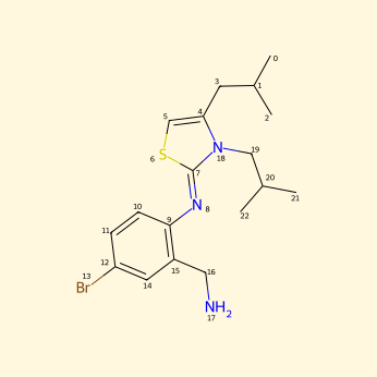 CC(C)Cc1csc(=Nc2ccc(Br)cc2CN)n1CC(C)C